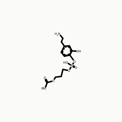 CC(C)(C)C(=O)OCCCOP(=O)(O)Oc1ccc(CCN)cc1O